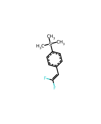 C[Si](C)(C)c1ccc(C=C(F)F)cc1